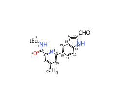 Cc1cc(C(=O)NC(C)(C)C)nc(-c2ccc3[nH]c(C=O)cc3c2)c1